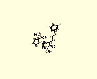 O=C(NO)C(CCCc1ccccc1)NC(=O)[C@H]1CCC[C@H]1C(=O)O